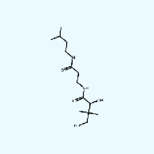 CC(C)CCNC(=O)CCNC(=O)[C@@H](O)C(C)(C)CO